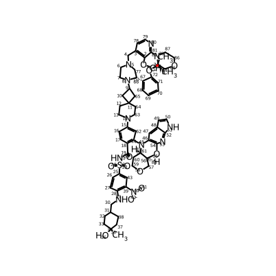 COc1c(CN2CCN(C3CC4(CCN(c5ccc(C(=O)NS(=O)(=O)c6ccc(NCC7CCC(C)(O)CC7)c([N+](=O)[O-])c6)c(N6c7cc8cc[nH]c8nc7O[C@H]7COCC[C@@H]76)c5)CC4)C3)[C@@H](c3ccccc3OC(C)C)C2)ccnc1N1CCOCC1